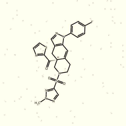 Cn1ncc(S(=O)(=O)N2CCC3=Cc4c(cnn4-c4ccc(F)cc4)C[C@]3(C(=O)c3nccs3)C2)n1